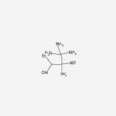 CCC(N=O)C(N)(N=O)C(N)(N)N